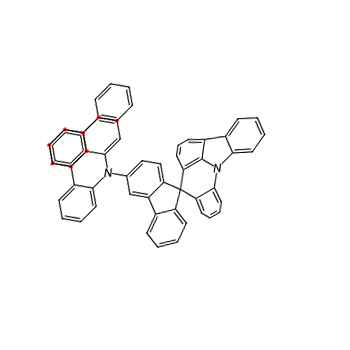 c1ccc(-c2cccc(-c3ccccc3N(c3ccc4c(c3)-c3ccccc3C43c4ccccc4-n4c5ccccc5c5cccc3c54)c3cccc4ccccc34)c2)cc1